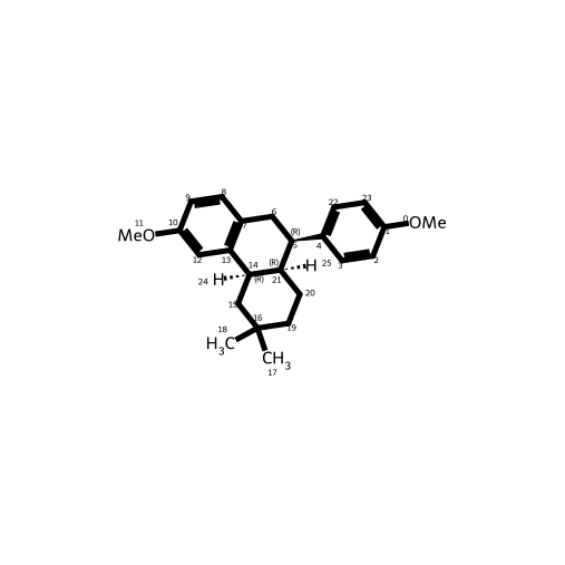 COc1ccc([C@@H]2Cc3ccc(OC)cc3[C@@H]3CC(C)(C)CC[C@H]23)cc1